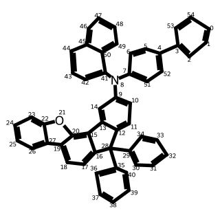 c1ccc(-c2ccc(N(c3ccc4c(c3)-c3c(ccc5c3oc3ccccc35)C4(c3ccccc3)c3ccccc3)c3cccc4ccccc34)cc2)cc1